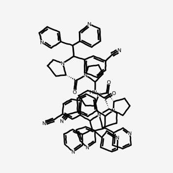 N#Cc1cccc(C(C(c2cccnc2)c2cccnc2)N2CCC[C@H]2C(=O)N2CCCC2NC(=O)[C@@H]2CCC[N+]2(C(c2cccc(C#N)c2)C(c2cccnc2)c2cccnc2)C2CCCN2C(=O)[C@@H]2CCCN2C(c2cccc(C#N)c2)C(c2cccnc2)c2cccnc2)c1